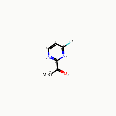 COC(=O)c1nccc(F)n1